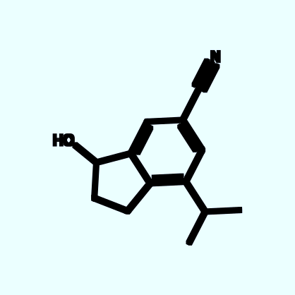 CC(C)c1cc(C#N)cc2c1CCC2O